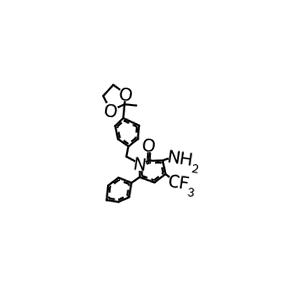 CC1(c2ccc(Cn3c(-c4ccccc4)cc(C(F)(F)F)c(N)c3=O)cc2)OCCO1